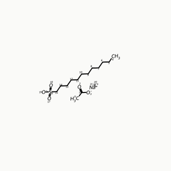 CC(=O)[O-].CCCCCCCCCCCCS(=O)(=O)[O-].[K+].[Na+]